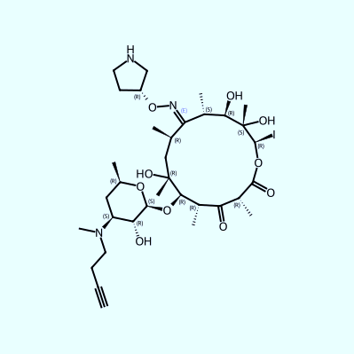 C#CCCN(C)[C@H]1C[C@@H](C)O[C@@H](O[C@@H]2[C@@H](C)C(=O)[C@@H](C)C(=O)O[C@H](I)[C@@](C)(O)[C@H](O)[C@@H](C)/C(=N/O[C@@H]3CCNC3)[C@H](C)C[C@@]2(C)O)[C@@H]1O